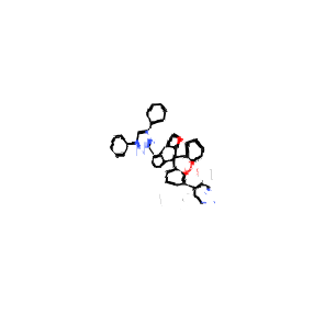 Cc1cncc(C)c1-c1cccc2c1Oc1ccccc1C21c2ccccc2-c2c(-c3nc(-c4ccccc4)cc(-c4ccccc4)n3)cccc21